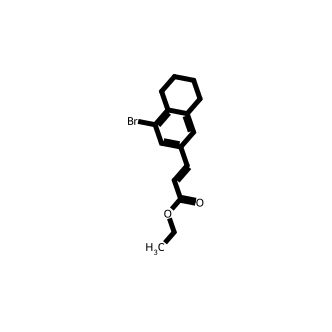 CCOC(=O)C=Cc1cc(Br)c2c(c1)CCCC2